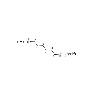 [CH2]CCC#CCCCCCCCCCCCCC